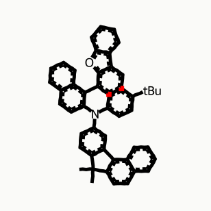 CC(C)(C)c1ccc(N(c2ccc3c(c2)-c2c(ccc4ccccc24)C3(C)C)c2ccc3ccccc3c2-c2cccc3c2oc2ccccc23)cc1